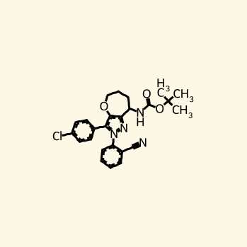 CC(C)(C)OC(=O)NC1CCCOc2c1nn(-c1ccccc1C#N)c2-c1ccc(Cl)cc1